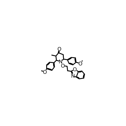 COc1ccc(C2CC(=O)C(C)C(c3ccc(OC)cc3)N2OCCc2nc3ccccc3o2)cc1